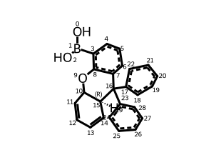 OB(O)c1cccc2c1OC1C=CC=C[C@@H]1C2(c1ccccc1)c1ccccc1